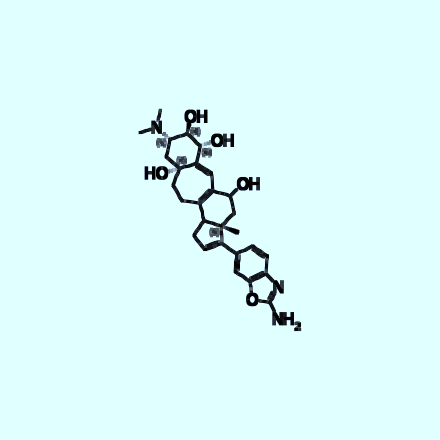 CN(C)[C@H]1C[C@]2(O)CCC3=C(C=C2[C@@H](O)[C@@H]1O)C(O)C[C@]1(C)C(c2ccc4nc(N)oc4c2)=CCC31